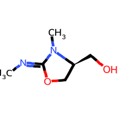 C/N=C1\OC[C@H](CO)N1C